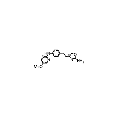 COc1cnc(Nc2ccc(CC[C@H]3COC(N)=N3)cc2)nc1